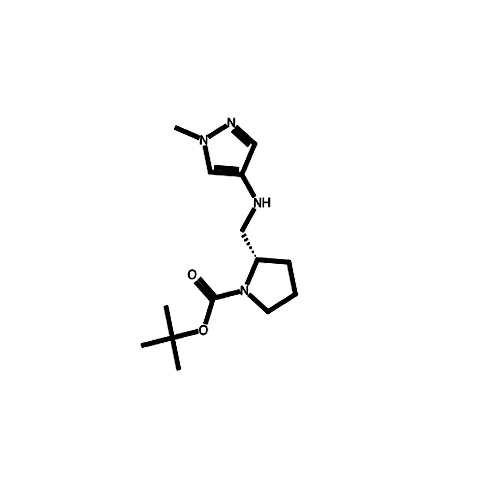 Cn1cc(NC[C@@H]2CCCN2C(=O)OC(C)(C)C)cn1